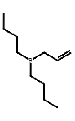 C=CCB(CCCC)CCCC